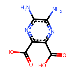 Nc1nc(C(=O)O)c(C(=O)O)nc1N